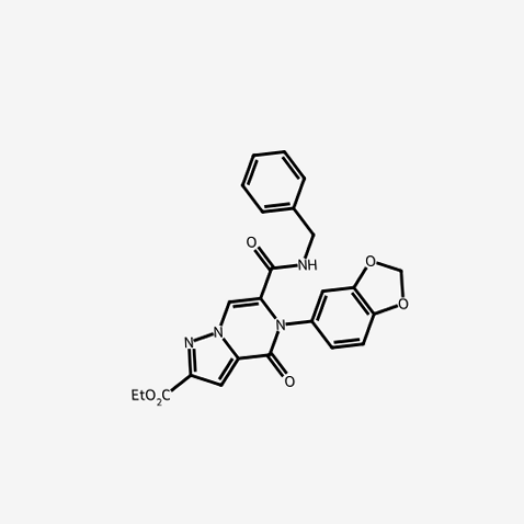 CCOC(=O)c1cc2c(=O)n(-c3ccc4c(c3)OCO4)c(C(=O)NCc3ccccc3)cn2n1